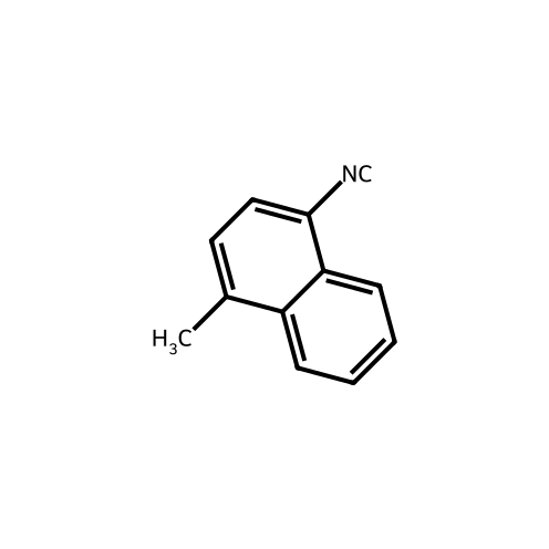 [C-]#[N+]c1ccc(C)c2ccccc12